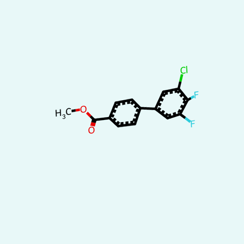 COC(=O)c1ccc(-c2cc(F)c(F)c(Cl)c2)cc1